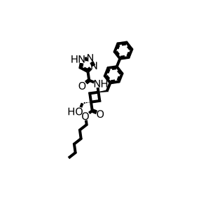 CCCCCCOC(=O)[C@]1(CO)C[C@@](Cc2ccc(-c3ccccc3)cc2)(NC(=O)c2c[nH]nn2)C1